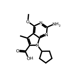 COc1nc(N)nc2c1c(C)c(C(=O)O)n2C1CCCC1